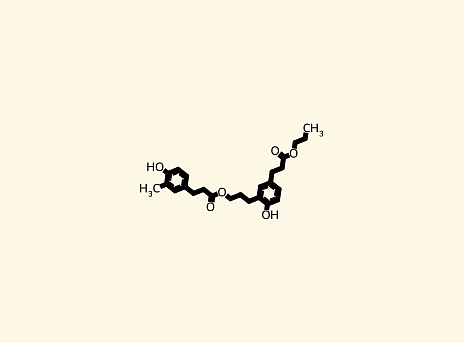 CCCOC(=O)CCc1ccc(O)c(CCCOC(=O)CCc2ccc(O)c(C)c2)c1